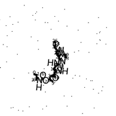 CC[C@@H](C)NC(=O)OC1COC(c2cc(Nc3nccn4nc(COC)cc34)n[nH]2)C1